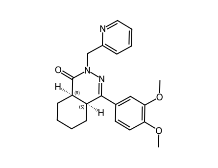 COc1ccc(C2=NN(Cc3ccccn3)C(=O)[C@@H]3CCCC[C@H]23)cc1OC